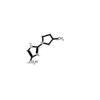 CC1CCN(c2nc(C(=O)O)co2)C1